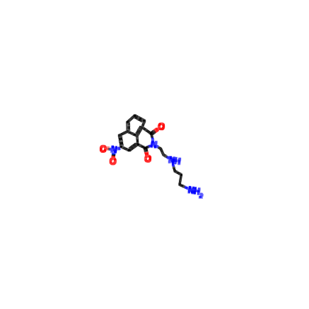 NCCCNCCN1C(=O)c2cccc3cc([N+](=O)[O-])cc(c23)C1=O